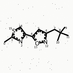 Cc1nc(-c2cc(CC(C)(C)C)no2)cs1